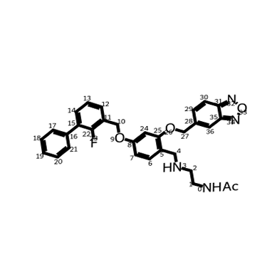 CC(=O)NCCNCc1ccc(OCc2cccc(-c3ccccc3)c2F)cc1OCc1ccc2nonc2c1